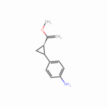 C=C(OC)[C@@H]1CC1c1ccc(N)cc1